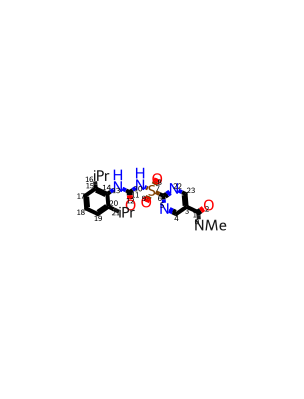 CNC(=O)c1cnc(S(=O)(=O)NC(=O)Nc2c(C(C)C)cccc2C(C)C)nc1